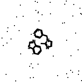 Cc1nccn1Cc1ccccc1.c1ccc2scnc2c1